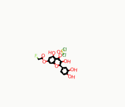 O=C(CF)Oc1cc(O)c2c(=O)c(O)c(-c3ccc(O)c(O)c3)oc2c1.[O-][S+](Cl)Cl